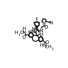 CNC(=O)c1ccc2c(c1)CCc1cc(C(=O)NC)ccc1C2(C[C@@H](Cc1ccc(F)cc1)NCC(=O)N1CCCC1C#N)c1nnn[nH]1